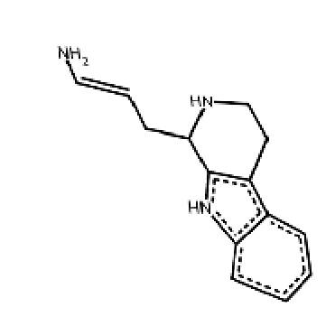 NC=CCC1NCCc2c1[nH]c1ccccc21